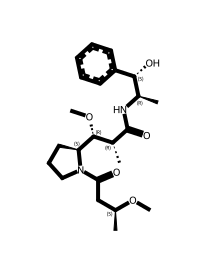 CO[C@H]([C@@H](C)C(=O)N[C@H](C)[C@@H](O)c1ccccc1)[C@@H]1CCCN1C(=O)C[C@H](C)OC